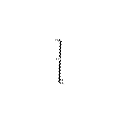 CCCCCCCCCCCCNCCCCCCCCCCCCC(=O)CN